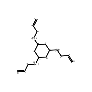 C=CCNC1CC(NCC=C)CC(NCC=C)C1